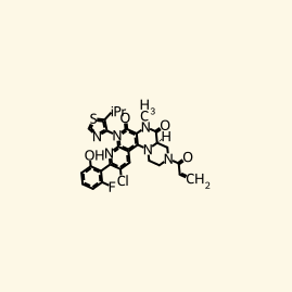 C=CC(=O)N1CCN2c3c(c(=O)n(-c4ncsc4C(C)C)c4nc(-c5c(O)cccc5F)c(Cl)cc34)N(C)C(=O)[C@H]2C1